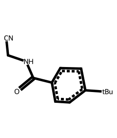 CC(C)(C)c1ccc(C(=O)NCC#N)cc1